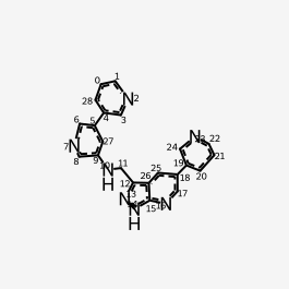 c1cncc(-c2cncc(NCc3n[nH]c4ncc(-c5cccnc5)cc34)c2)c1